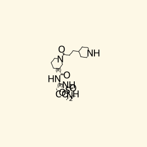 CN(C)S(=O)(=O)N[C@H](CC(=O)O)NC(=O)[C@@H]1CCCN(C(=O)CCC2CCNCC2)C1